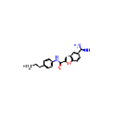 N=C(N)c1ccc2oc(C(=O)Nc3ccc(CCC(=O)O)cc3)cc2c1